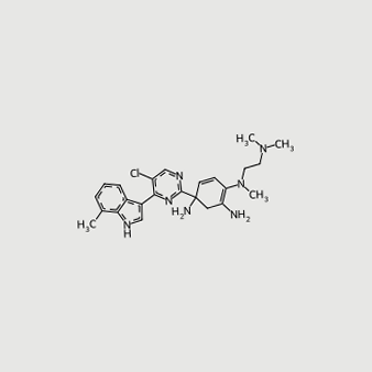 Cc1cccc2c(-c3nc(C4(N)C=CC(N(C)CCN(C)C)=C(N)C4)ncc3Cl)c[nH]c12